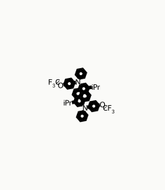 CC(C)c1cc(N(c2ccccc2)c2ccc(OC(F)(F)F)cc2)c2ccc3c(C(C)C)cc(N(c4ccccc4)c4ccc(OC(F)(F)F)cc4)c4ccc1c2c34